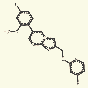 COc1cc(F)ccc1-c1cnc2nc(COc3cc(F)ccn3)cn2c1